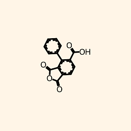 O=C1OC(=O)c2c1ccc(C(=O)O)c2-c1ccccc1